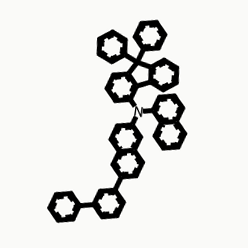 c1ccc(-c2cccc(-c3ccc4cc(N(c5cccc6c5-c5ccccc5C6(c5ccccc5)c5ccccc5)c5cccc6ccccc56)ccc4c3)c2)cc1